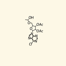 CC(=O)OC1C(COC(C)O)OC(n2cnc3c(Cl)ncnc32)C1OC(C)=O